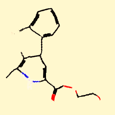 CC1=C(C(=O)O)C(c2ccccc2C#N)C=C(C(=O)OCCO)N1